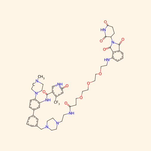 CN1CCN(c2ccc(-c3cccc(CN4CCN(CCNC(=O)CCOCCOCCOCCNc5cccc6c5C(=O)N(C5CCC(=O)NC5=O)C6=O)CC4)c3)cc2NC(=O)c2c[nH]c(=O)cc2C(F)(F)F)CC1